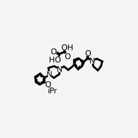 CC(C)Oc1ccccc1N1CCN(CCc2ccc(C(=O)N3CCCCC3)cc2)CC1.O=C(O)C(=O)O